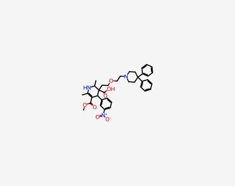 COC(=O)C1=C(C)NC(C)C(CCOCCN2CCC(c3ccccc3)(c3ccccc3)CC2)(C(=O)O)C1c1cccc([N+](=O)[O-])c1